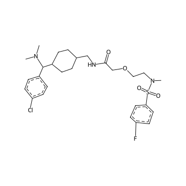 CN(C)C(c1ccc(Cl)cc1)C1CCC(CNC(=O)COCCN(C)S(=O)(=O)c2ccc(F)cc2)CC1